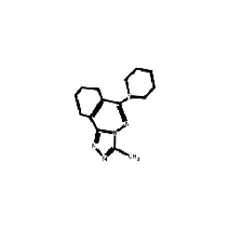 Cc1nnc2c3c(c(N4CCCCC4)nn12)CCCC3